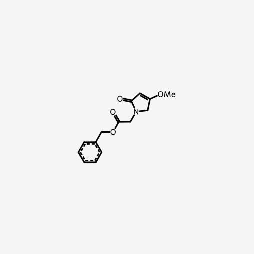 COC1=CC(=O)N(CC(=O)OCc2ccccc2)C1